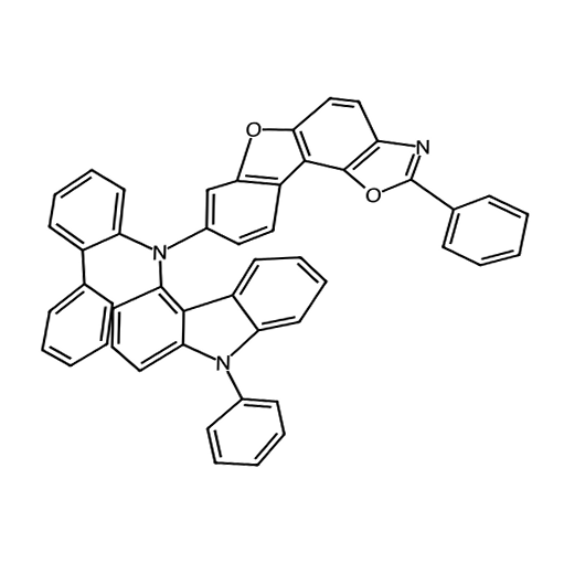 c1ccc(-c2nc3ccc4oc5cc(N(c6ccccc6-c6ccccc6)c6cccc7c6c6ccccc6n7-c6ccccc6)ccc5c4c3o2)cc1